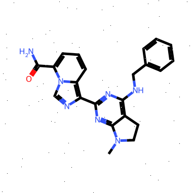 CN1CCc2c(NCc3ccccc3)nc(-c3ncn4c(C(N)=O)cccc34)nc21